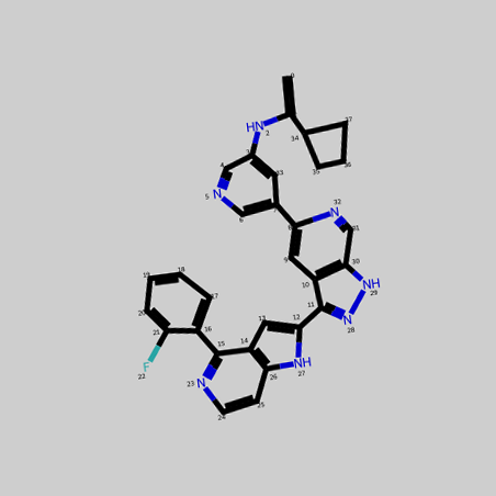 C=C(Nc1cncc(-c2cc3c(-c4cc5c(-c6ccccc6F)nccc5[nH]4)n[nH]c3cn2)c1)C1CCC1